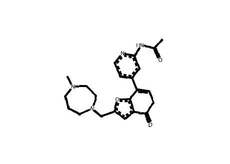 CC(=O)Nc1cc(C2=CCC(=O)c3cc(CN4CCCN(C)CC4)oc32)ccn1